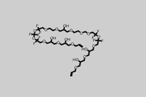 C=CCOCC(O)COCC(O)COCC(F)(F)OC(F)(F)COCOCCOCC(O)COCCOCC(F)(F)OC(F)(F)OC(F)(F)COCC(O)COCC(O)COCC=C